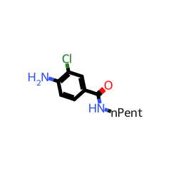 CCCCCNC(=O)c1ccc(N)c(Cl)c1